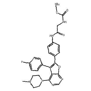 CN1CCN(c2ncnc3oc(-c4ccc(NC(=O)CNC(=O)OC(C)(C)C)cc4)c(-c4ccc(F)cc4)c23)CC1